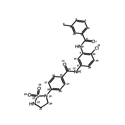 Cc1cccc(C(=O)Nc2cc(NC(=O)c3ccc(N4CCNS4(=O)=O)cc3)ccc2Cl)c1